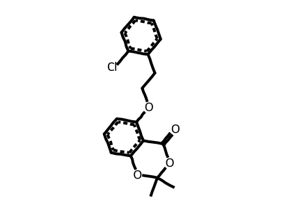 CC1(C)OC(=O)c2c(OCCc3ccccc3Cl)cccc2O1